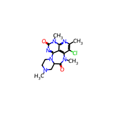 Cc1nc2c3c(nc(=O)n2C)N2CCN(C)CC2C(=O)N(C)c3c1Cl